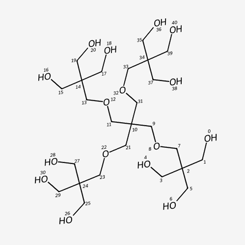 OCC(CO)(CO)COCC(COCC(CO)(CO)CO)(COCC(CO)(CO)CO)COCC(CO)(CO)CO